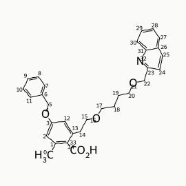 Cc1cc(OCc2ccccc2)cc(CCOCCCCOCc2ccc3ccccc3n2)c1C(=O)O